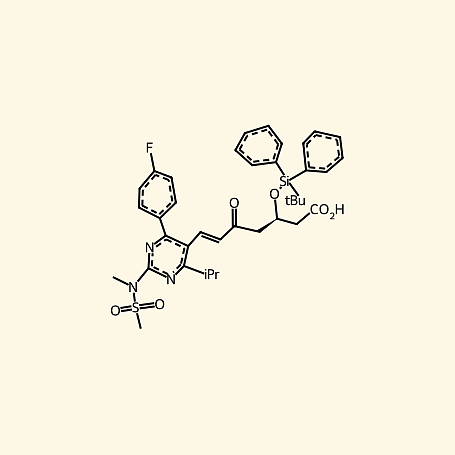 CC(C)c1nc(N(C)S(C)(=O)=O)nc(-c2ccc(F)cc2)c1/C=C/C(=O)C[C@H](CC(=O)O)O[Si](c1ccccc1)(c1ccccc1)C(C)(C)C